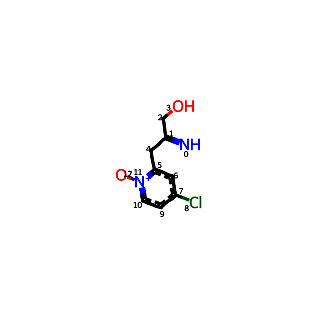 N=C(CO)Cc1cc(Cl)cc[n+]1[O-]